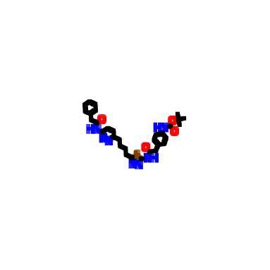 CC(C)(C)OC(=O)Nc1ccc(CC(=O)Nc2nnc(CCCCc3ccc(NC(=O)Cc4ccccc4)nn3)s2)cc1